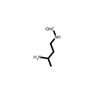 CC(N)CCN[C]=O